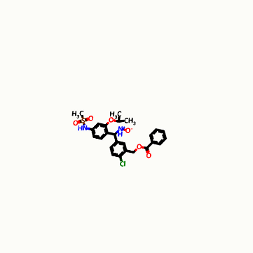 CC1(C)Oc2cc(NS(C)(=O)=O)ccc2C(c2ccc(Cl)c(COC(=O)c3ccccc3)c2)[NH+]1[O-]